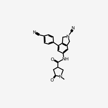 CN1CC(C(=O)Nc2cc3c(c(-c4ccc(C#N)cc4)c2)CN(C#N)C3)CC1=O